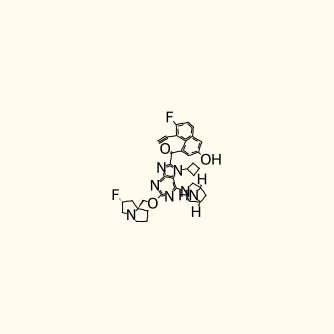 C#Cc1c(F)ccc2cc(O)cc(C(=O)c3nc4nc(OC[C@@]56CCCN5C[C@H](F)C6)nc(N5C[C@H]6C[C@@H](C5)N6)c4n3C3CCC3)c12